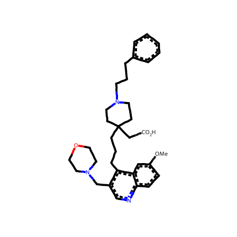 COc1ccc2ncc(CN3CCOCC3)c(CCCC3(CC(=O)O)CCN(CCCc4ccccc4)CC3)c2c1